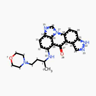 CC(CCN1CCOCC1)Nc1ccc2ncn3c4ccc5[nH]ncc5c4c(=O)c1c23